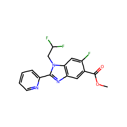 COC(=O)c1cc2nc(-c3ccccn3)n(CC(F)F)c2cc1F